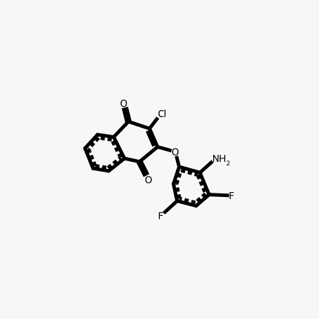 Nc1c(F)cc(F)cc1OC1=C(Cl)C(=O)c2ccccc2C1=O